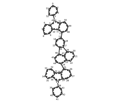 c1ccc(-n2c3ccccc3c3c(-c4ccc5c(c4)-c4cccc6c(-c7cccc8c7c7ccccc7n8-c7ccccc7)ccc-5c46)cccc32)cc1